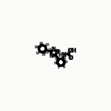 O=C(O)Nc1ccccc1-c1nc(-c2ccccc2)no1